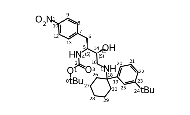 CC(C)(C)OC(=O)N[C@@H](Cc1ccc([N+](=O)[O-])cc1)[C@@H](O)CNC1(c2cccc(C(C)(C)C)c2)CCCCC1